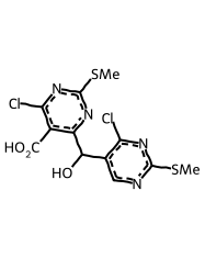 CSc1ncc(C(O)c2nc(SC)nc(Cl)c2C(=O)O)c(Cl)n1